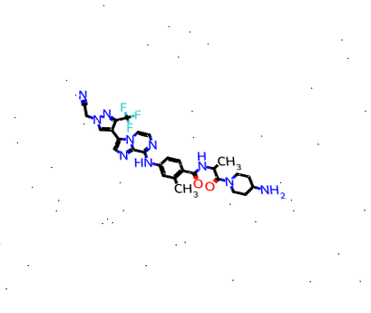 Cc1cc(Nc2nccn3c(-c4cn(CC#N)nc4C(F)(F)F)cnc23)ccc1C(=O)NC(C)C(=O)N1CCC(N)CC1